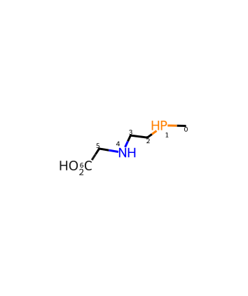 CPCCNCC(=O)O